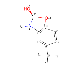 CN1c2cc(C(C)(C)C)ccc2O[C@@H]1O